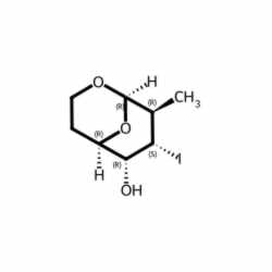 C[C@@H]1[C@@H]2OCC[C@@H](O2)[C@@H](O)[C@H]1I